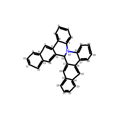 c1ccc2c(c1)-c1cc3ccccc3cc1C1c3cc4ccccc4cc3-c3ccccc3N21